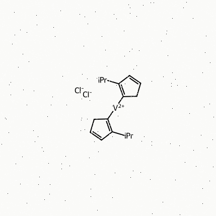 CC(C)C1=[C]([V+2][C]2=C(C(C)C)C=CC2)CC=C1.[Cl-].[Cl-]